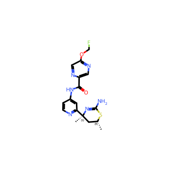 C[C@@H]1C[C@@](C)(c2cc(NC(=O)c3cnc(OCF)cn3)ccn2)N=C(N)S1